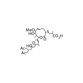 COC1/C=C/CCC(SCC(C)C(=O)O)CC(=O)OC(/C(C)=C/C(C)C(=O)CC(O)CC(CC(C)=O)CC(C)=O)C(C)C1O